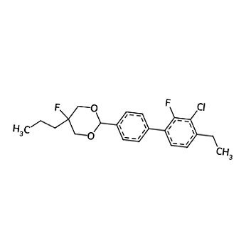 CCCC1(F)COC(c2ccc(-c3ccc(CC)c(Cl)c3F)cc2)OC1